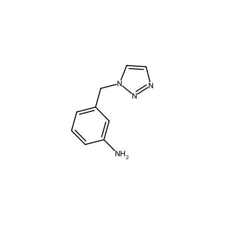 Nc1cccc(Cn2ccnn2)c1